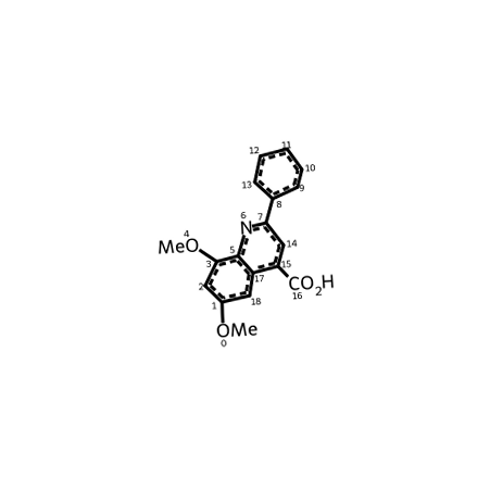 COc1cc(OC)c2nc(-c3ccccc3)cc(C(=O)O)c2c1